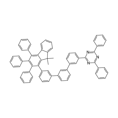 CC1(C)c2ccccc2-c2c(-c3ccccc3)c(-c3ccccc3)c(-c3ccccc3)c(-c3cccc(-c4cccc(-c5cccc(-c6nc(-c7ccccc7)nc(-c7ccccc7)n6)c5)c4)c3)c21